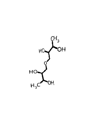 CC(O)C(O)COCC(O)C(C)O